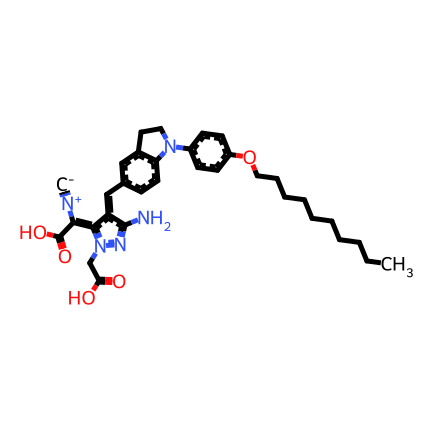 [C-]#[N+]/C(C(=O)O)=c1\c(=C\c2ccc3c(c2)CCN3c2ccc(OCCCCCCCCCC)cc2)c(N)nn1CC(=O)O